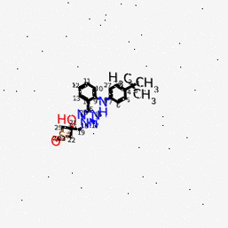 CC(C)(C)c1ccc(Nc2ccccc2-c2nnn(CC3(O)C[S+]([O-])C3)n2)cc1